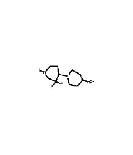 CCCC1CCN(C2CCN(I)CC2(F)F)CC1